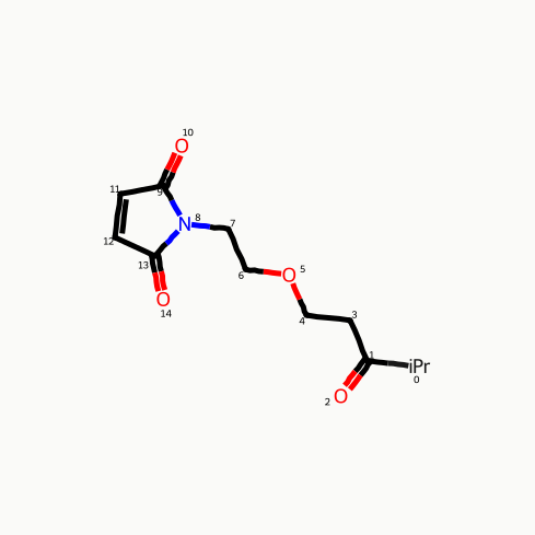 CC(C)C(=O)CCOCCN1C(=O)C=CC1=O